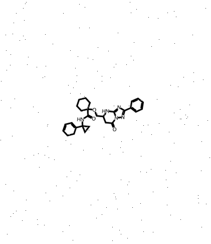 O=C1CC(COC2(C(=O)NC3(C4=CC=CCC4)CC3)CCCCC2)Nc2nc(-c3ccccc3)nn21